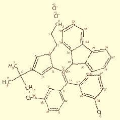 CCCC1C=C(C(C)(C)C)C=[C]1[Zr+2](=[C](c1cccc(Cl)c1)c1cccc(Cl)c1)[CH]1c2ccccc2-c2ccccc21.[Cl-].[Cl-]